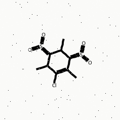 CC1=C(Cl)C(C)C(=S(=O)=O)C(C)C1=S(=O)=O